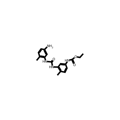 CCOC(=O)Nc1ccc(C)c(NC(=O)Nc2cc(N)ccc2C)c1